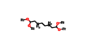 CCOC(C[SiH2]CC[SiH2]CC(OCC)OCC)OCC